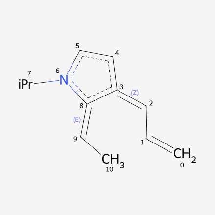 C=C/C=c1/ccn(C(C)C)/c1=C/C